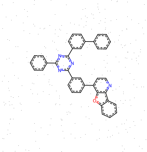 c1ccc(-c2cccc(-c3nc(-c4ccccc4)nc(-c4cccc(-c5ccnc6c5oc5ccccc56)c4)n3)c2)cc1